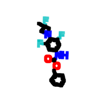 CC1(F)CN(c2c(F)cc(NC(=O)OCc3ccccc3)cc2F)C1